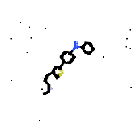 C/C=C\C=C/c1csc(-c2ccc(Nc3ccccc3)cc2)c1